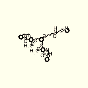 COc1cc2c(cc1OCc1cc(COc3cc4c(cc3OC)C(=O)N3c5ccccc5C[C@H]3C=N4)cc(OCCCCC(=O)NCCSSc3ccccn3)c1)N=CC1Cc3ccccc3N1C2=O